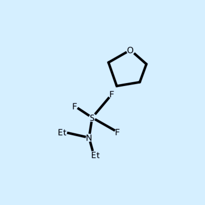 C1CCOC1.CCN(CC)S(F)(F)F